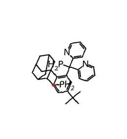 CC(C)(C)c1ccc(C23CC4CC(CC(C4)C2CP)C3)c(C(P)(c2ccccn2)c2ccccn2)c1